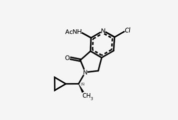 CC(=O)Nc1nc(Cl)cc2c1C(=O)N([C@@H](C)C1CC1)C2